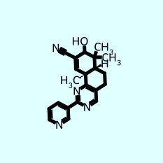 CC1(C)C(O)C(C#N)=C[C@]2(C)c3nc(-c4cccnc4)ncc3CC[C@@H]12